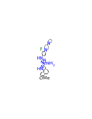 COc1ccc2c(c1)=CC=CC1=CC(n3nc(Nc4ccc(N5CCC(N6CCCC6)CC5)c(F)c4)nc3N)=NNC=21